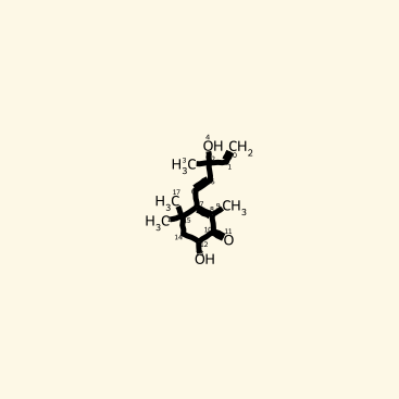 C=CC(C)(O)C=CC1=C(C)C(=O)C(O)CC1(C)C